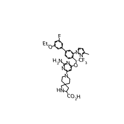 CCOc1cc(F)cc(-c2ccc([C@@H](Oc3cc(N4CCC5(CC4)CNC(C(=O)O)C5)nc(N)n3)C(F)(F)F)c(-n3ccc(C)n3)c2)c1